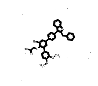 COc1ccc(-c2cc(-c3ccc(-c4c(Cc5ccccc5)sc5ccccc45)cc3)cc(Br)c2OCC(=O)O)cc1OC